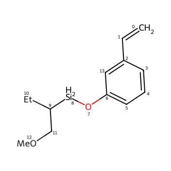 C=Cc1cccc(O[SiH2]C(CC)COC)c1